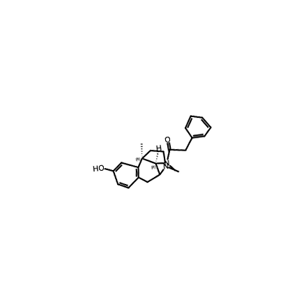 CN1CC[C@]2(C)c3cc(O)ccc3CC1[C@@H]2N(C)C(=O)Cc1ccccc1